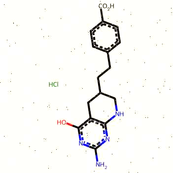 Cl.Nc1nc(O)c2c(n1)NCC(CCc1ccc(C(=O)O)cc1)C2